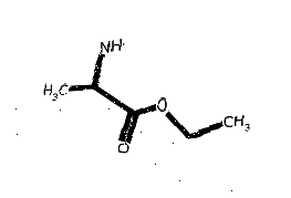 CCOC(=O)C(C)[NH]